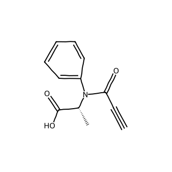 C#CC(=O)N(c1ccccc1)[C@H](C)C(=O)O